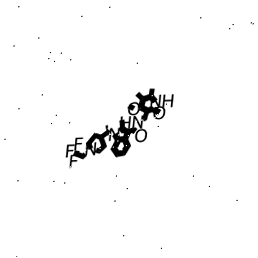 COc1c(C)c(C)[nH]c(=O)c1CNC(=O)c1c(C)n([C@H](C)C2CCN(CC(F)(F)F)CC2)c2ccccc12